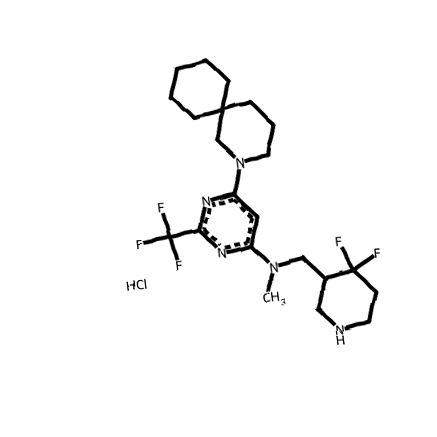 CN(CC1CNCCC1(F)F)c1cc(N2CCCC3(CCCCC3)C2)nc(C(F)(F)F)n1.Cl